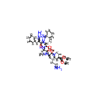 CC(C)C[C@@H](NC(=O)[C@@H](Cc1ccccc1)NC(=O)[C@H](N)Cc1ccccc1)C(=O)N[C@H](CCCCN)C(=O)N1CCC(B(OC(C)C)OC(C)C)CC1